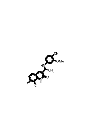 COc1cc(N[C@@H](C)c2cc3ccc(F)c(Cl)c3[nH]c2=O)ccc1C#N